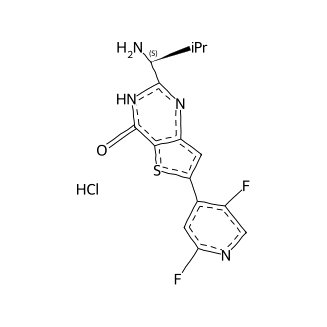 CC(C)[C@H](N)c1nc2cc(-c3cc(F)ncc3F)sc2c(=O)[nH]1.Cl